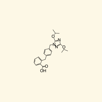 CC(C)Oc1nc(OC(C)C)n(Cc2ccc(Cc3ccccc3C(=O)O)cc2)n1